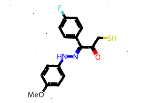 COc1ccc(NN=C(C(=O)CS)c2ccc(F)cc2)cc1